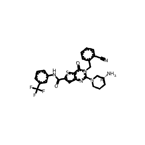 N#Cc1ccccc1Cn1c(N2CCC[C@@H](N)C2)nc2cc(C(=O)Nc3cccc(C(F)(F)F)c3)sc2c1=O